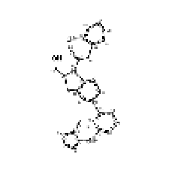 Cn1nccc1Nc1nccc(-c2ccc3c(c2)CC(CO)N3C(=O)Cc2ccccc2Cl)n1